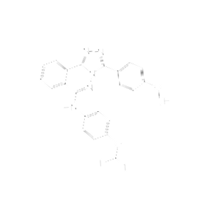 COc1ccc(-c2nnc3c4ccccc4c(Nc4ccc(OC(F)F)cc4)nn23)cc1